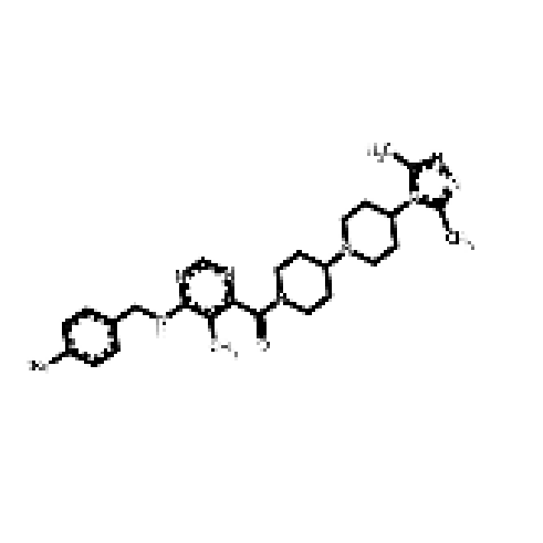 Cc1c(NCc2ccc(C(C)(C)C)cc2)ncnc1C(=O)N1CCC(N2CCC(n3c(C)nnc3C)CC2)CC1